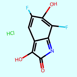 Cl.O=C1N=c2c(F)c(O)c(F)cc2=C1O